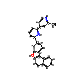 N#Cc1cc(-c2cccc(-c3ccc4c(c3)oc3ccc5ccccc5c34)n2)ccn1